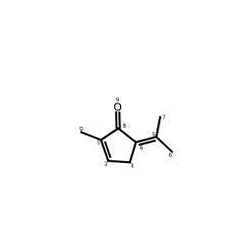 CC1=CCC(=C(C)C)C1=O